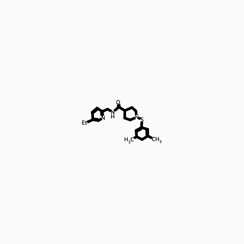 CCc1ccc(CNC(=O)C2CCN(SC3=CC(C)CC(C)=C3)CC2)nc1